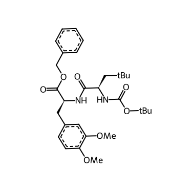 COc1ccc(C[C@H](NC(=O)[C@@H](CC(C)(C)C)NC(=O)OC(C)(C)C)C(=O)OCc2ccccc2)cc1OC